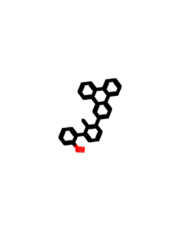 Cc1c(-c2ccc3c4ccccc4c4ccccc4c3c2)cccc1-c1ccccc1O